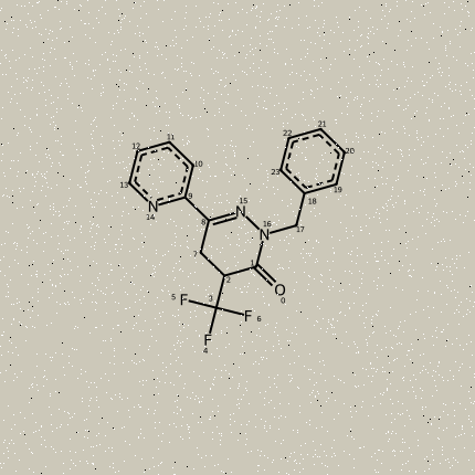 O=C1C(C(F)(F)F)CC(c2ccccn2)=NN1Cc1ccccc1